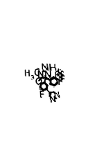 CN1C(=O)C(c2cccc(S(F)(F)(F)(F)F)c2)(c2ccc(F)c(-c3cncnc3)c2)N=C1N